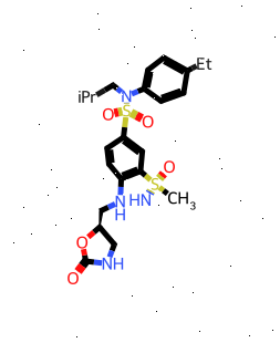 CCc1ccc(N(CC(C)C)S(=O)(=O)c2ccc(NC[C@H]3CNC(=O)O3)c(S(C)(=N)=O)c2)cc1